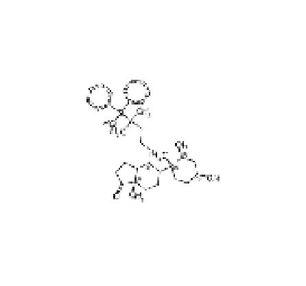 CC(C)(CCC[C@H]1C2CCC(=O)[C@@]2(C)CCC1[C@@]1(C)CC[C@H](O)C[C@@H]1O)[Si](O)(c1ccccc1)c1ccccc1